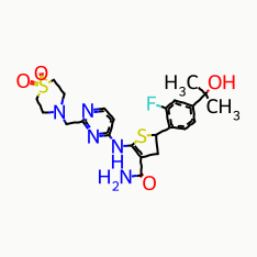 CC(C)(O)c1ccc(C2CC(C(N)=O)=C(Nc3ccnc(CN4CCS(=O)(=O)CC4)n3)S2)c(F)c1